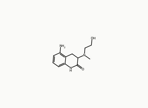 CN(CCO)C1Cc2c(N)cccc2NC1=O